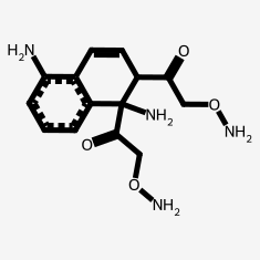 NOCC(=O)C1C=Cc2c(N)cccc2C1(N)C(=O)CON